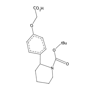 CC(C)(C)OC(=O)N1CCCCC1c1ccc(OCC(=O)O)cc1